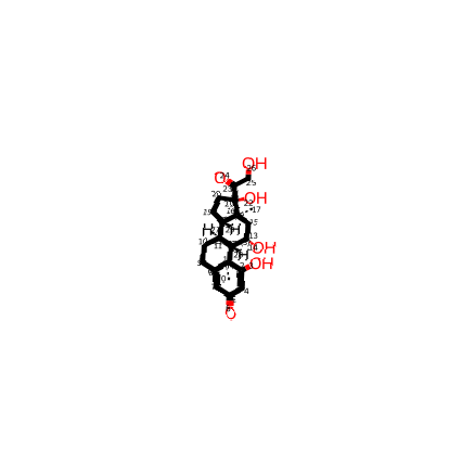 C[C@]12C(O)=CC(=O)C=C1CC[C@@H]1[C@@H]2[C@@H](O)C[C@@]2(C)[C@H]1CC[C@]2(O)C(=O)CO